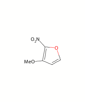 COc1ccoc1[N+](=O)[O-]